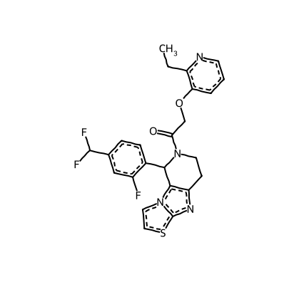 CCc1ncccc1OCC(=O)N1CCc2nc3sccn3c2C1c1ccc(C(F)F)cc1F